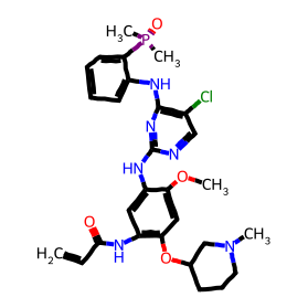 C=CC(=O)Nc1cc(Nc2ncc(Cl)c(Nc3ccccc3P(C)(C)=O)n2)c(OC)cc1OC1CCCN(C)C1